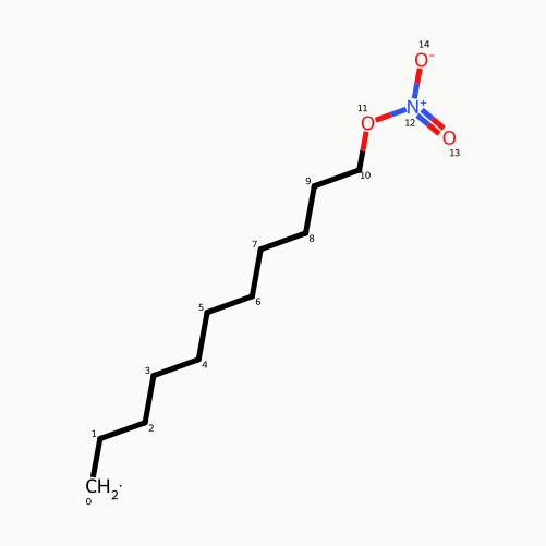 [CH2]CCCCCCCCCCO[N+](=O)[O-]